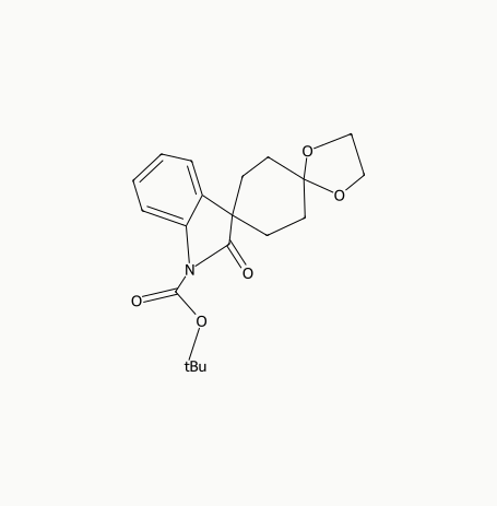 CC(C)(C)OC(=O)N1C(=O)C2(CCC3(CC2)OCCO3)c2ccccc21